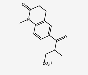 CC(CC(=O)O)C(=O)c1ccc2c(c1)CCC(=O)N2C